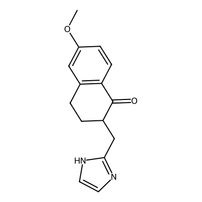 COc1ccc2c(c1)CCC(Cc1ncc[nH]1)C2=O